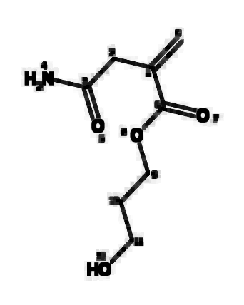 C=C(CC(N)=O)C(=O)OCCCO